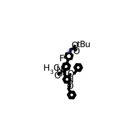 Cn1c(=O)n(-c2ccc(OCc3ccccc3)nc2OCc2ccccc2)c2ccc(C3CC/C(=C\C(=O)OC(C)(C)C)CC3F)cc21